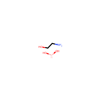 NCCO.OBO